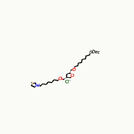 CCCCCCCCCCCCCCCCCCOC[C@H]1C[C@H](COCCCCCCC[n+]2ccsc2)CO1.[Cl-]